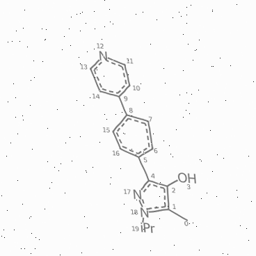 Cc1c(O)c(-c2ccc(-c3ccncc3)cc2)nn1C(C)C